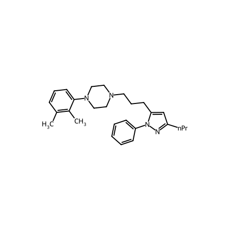 CCCc1cc(CCCN2CCN(c3cccc(C)c3C)CC2)n(-c2ccccc2)n1